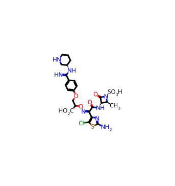 C[C@H]1[C@H](NC(=O)/C(=N\OC(COc2ccc(C(=N)N[C@H]3CCCNC3)cc2)C(=O)O)c2nc(N)sc2Cl)C(=O)N1S(=O)(=O)O